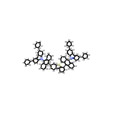 c1ccc(-c2ccc3c(c2)c2cc(-c4ccccc4)ccc2n3-c2c3ccccc3c(-c3ccc4c(c3)sc3c(-c5c6ccccc6c(-n6c7ccc(-c8ccccc8)cc7c7cc(-c8ccccc8)ccc76)c6ccccc56)cccc34)c3ccccc23)cc1